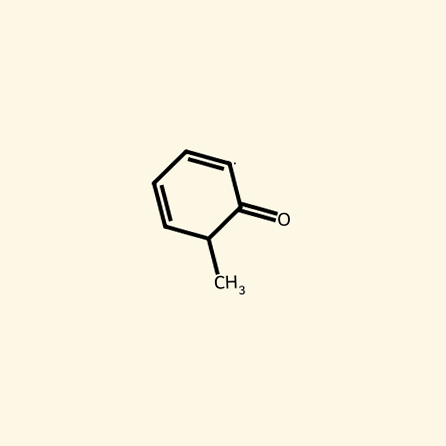 CC1C=CC=[C]C1=O